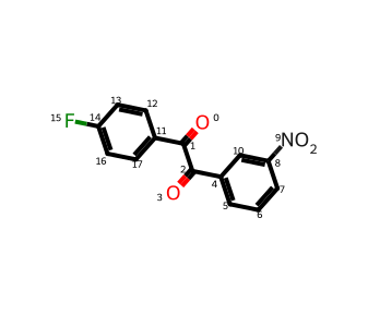 O=C(C(=O)c1cccc([N+](=O)[O-])c1)c1ccc(F)cc1